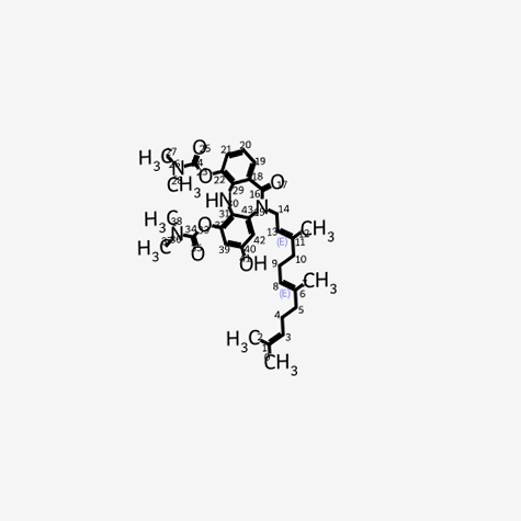 CC(C)=CCC/C(C)=C/CC/C(C)=C/CN1C(=O)c2cccc(OC(=O)N(C)C)c2Nc2c(OC(=O)N(C)C)cc(O)cc21